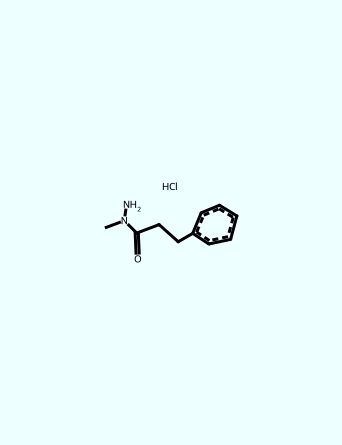 CN(N)C(=O)CCc1ccccc1.Cl